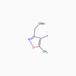 COCc1noc(C)c1I